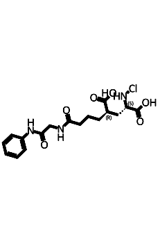 O=C(CCC[C@H](C[C@H](NCl)C(=O)O)C(=O)O)NCC(=O)Nc1ccccc1